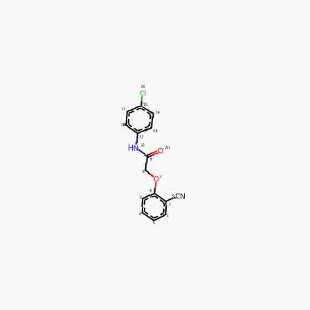 N#Cc1ccccc1OCC(=O)Nc1ccc(Cl)cc1